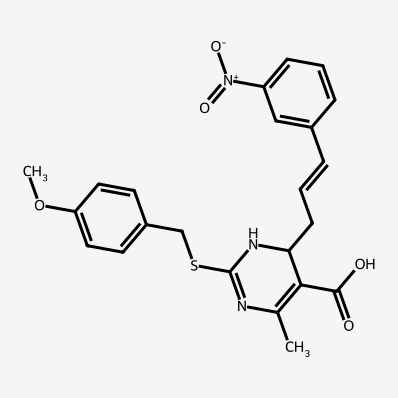 COc1ccc(CSC2=NC(C)=C(C(=O)O)C(CC=Cc3cccc([N+](=O)[O-])c3)N2)cc1